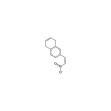 O=[N+]([O-])/C=C\c1ccc2c(c1)CC=CC2